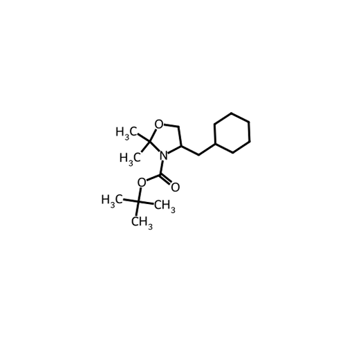 CC(C)(C)OC(=O)N1C(CC2CCCCC2)COC1(C)C